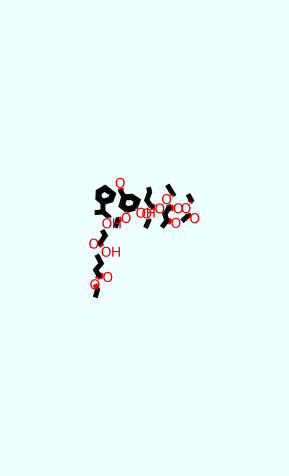 CC(CO)c1ccccc1.CCC(=O)O.CCCC(=O)OCC.CCCC(=O)OCC.CCOC(=O)CC(C)=O.CCOC(C)=O.CCOc1cc(C=O)ccc1O